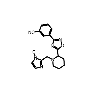 Cn1ccnc1CN1CCCCC1c1nc(-c2cccc(C#N)c2)no1